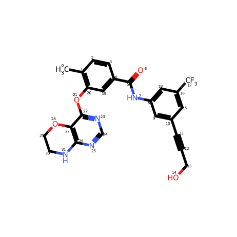 Cc1ccc(C(=O)Nc2cc(C#CCO)cc(C(F)(F)F)c2)cc1Oc1ncnc2c1OCCN2